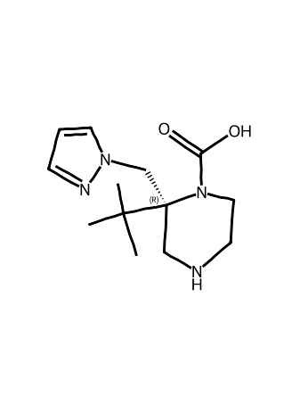 CC(C)(C)[C@]1(Cn2cccn2)CNCCN1C(=O)O